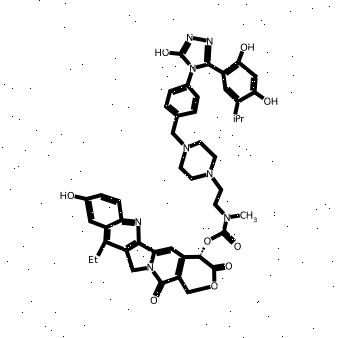 CCc1c2c(nc3ccc(O)cc13)-c1cc3c(c(=O)n1C2)COC(=O)[C@H]3OC(=O)N(C)CCN1CCN(Cc2ccc(-n3c(O)nnc3-c3cc(C(C)C)c(O)cc3O)cc2)CC1